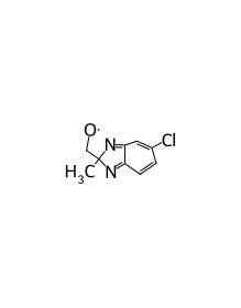 CC1(C[O])N=c2ccc(Cl)cc2=N1